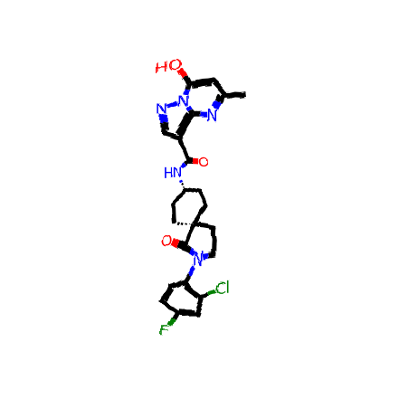 Cc1cc(O)n2ncc(C(=O)N[C@H]3CC[C@@]4(CCN(c5ccc(F)cc5Cl)C4=O)CC3)c2n1